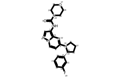 O=C(Nc1cnn2ccc(N3CCC[C@@H]3c3cccc(F)c3)nc12)N1CCOCC1